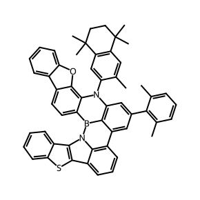 Cc1cc2c(cc1N1c3cc(-c4c(C)cccc4C)cc4c3B(c3ccc5c(oc6ccccc65)c31)n1c3c-4cccc3c3sc4ccccc4c31)C(C)(C)CCC2(C)C